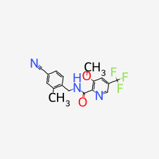 COc1cc(C(F)(F)F)cnc1C(=O)NCc1ccc(C#N)cc1C